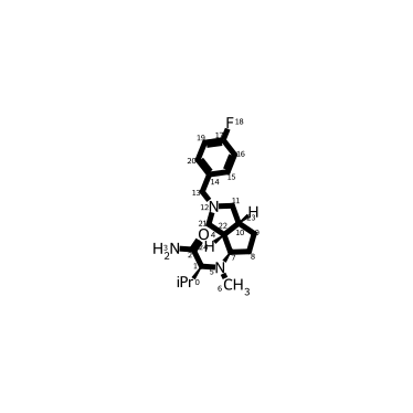 CC(C)[C@@H](C(N)=O)N(C)[C@@H]1CC[C@H]2CN(Cc3ccc(F)cc3)C[C@H]21